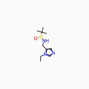 CCn1cncc1CN[S+]([O-])C(C)(C)C